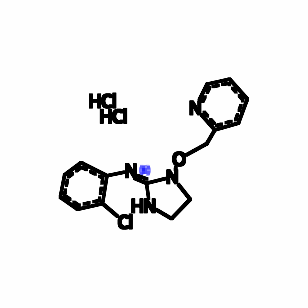 Cl.Cl.Clc1ccccc1/N=C1\NCCN1OCc1ccccn1